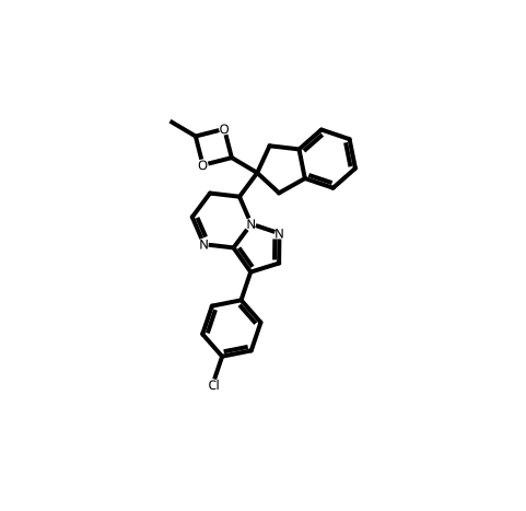 CC1OC(C2(C3CC=Nc4c(-c5ccc(Cl)cc5)cnn43)Cc3ccccc3C2)O1